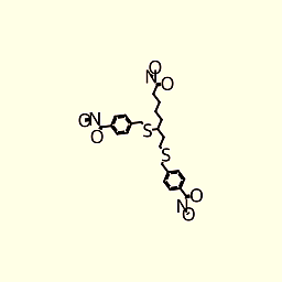 O=NC(=O)CCCCC(CCSCc1ccc(C(=O)N=O)cc1)SCc1ccc(C(=O)N=O)cc1